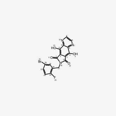 O=C1c2c(c(O)c3nccnc3c2O)C(=O)N1Cc1cc(Br)ccc1F